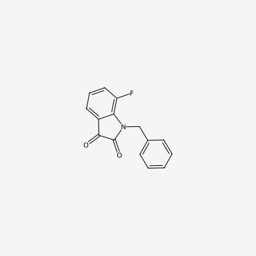 O=C1C(=O)N(Cc2ccccc2)c2c(F)cccc21